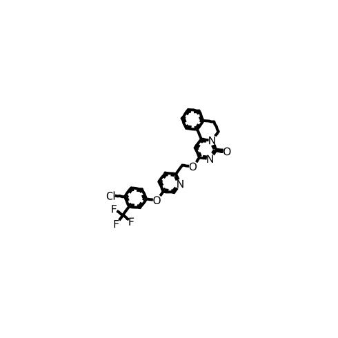 O=c1nc(OCc2ccc(Oc3ccc(Cl)c(C(F)(F)F)c3)cn2)cc2n1CCc1ccccc1-2